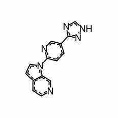 c1cc2ccn(-c3ccc(-c4nc[nH]n4)cn3)c2cn1